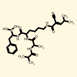 CC(C)C=C(C#N)C(=O)NCCCCC(NC(=O)C(C)NC(=O)C(C)C)C(=O)NC(Cc1ccccc1)B(O)O